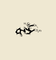 CCOC(=O)c1cnc(-c2ccccc2F)nc1N(C)C